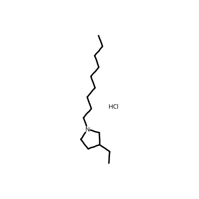 CCCCCCCCCN1CCC(CC)C1.Cl